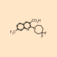 O=C(O)c1cc2ccc(C(F)(F)F)cc2nc1N1CCCC(F)(F)CC1